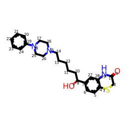 O=C1CSc2ccc(C(O)CCCCCN3CCN(c4ccccc4)CC3)cc2N1